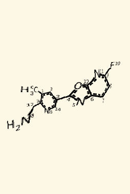 Cc1cc(-c2nc3ccc(F)nc3o2)cnc1CN